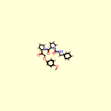 COc1ccc(OCC(=O)C2CCCN2C(=O)C2CCCN2C(=O)NCc2ccccc2)cc1